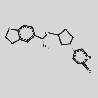 C[C@@H](NC1CC[C@H](c2ccc(=O)[nH]c2)C1)c1ccc2c(c1)CCO2